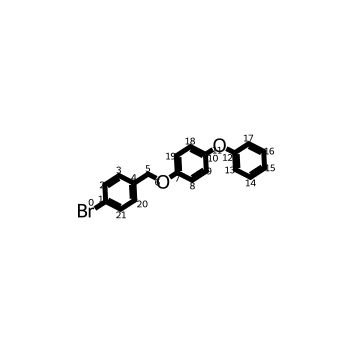 Brc1ccc(COc2ccc(Oc3ccccc3)cc2)cc1